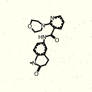 CN1C(=O)CCc2cc(NC(=O)c3cccnc3N3CCOCC3)ccc21